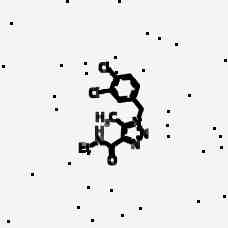 [CH2]CNC(=O)c1nnn(Cc2ccc(Cl)c(Cl)c2)c1C